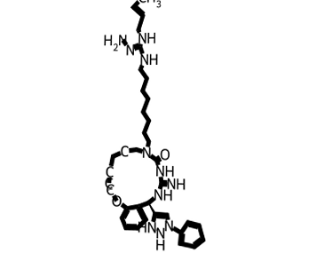 C/C=C/CNC(=NN)NCCCCCCCCN1CCCCCCOc2ccccc2[C@H](C2=CN(c3ccccc3)NN2)NC(=N)NC1=O